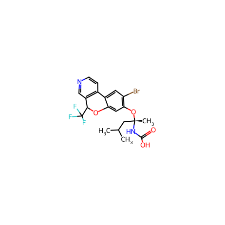 CC(C)C[C@@](C)(NC(=O)O)Oc1cc2c(cc1Br)-c1ccncc1C(C(F)(F)F)O2